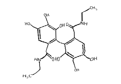 CCNC(=O)c1cc(O)c(O)c(O)c1-c1c(C(=O)NCC)cc(O)c(O)c1O